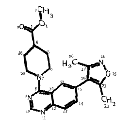 COC(=O)C1CCN(c2ncnc3ccc(-c4c(C)noc4C)cc23)CC1